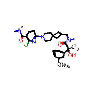 COc1cccc([C@@](O)(C(=O)N(C)CC2CC3(CCN(c4ccc(C(=O)N(C)C)c(Cl)n4)CC3)C2)C(F)(F)F)c1